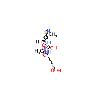 Cc1ncsc1-c1ccc([C@H](C)NC(=O)[C@@H]2C[C@@H](O)CN2C(=O)C(NC(=O)CCCCCCCCCC(=O)O)C(C)C)cc1